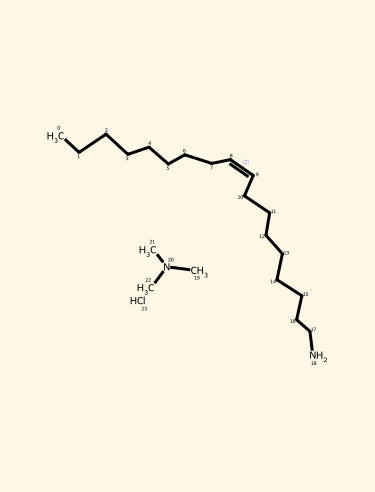 CCCCCCCC/C=C\CCCCCCCCN.CN(C)C.Cl